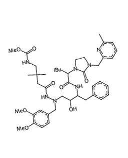 CCC(C)C(C(=O)NC(Cc1ccccc1)C(O)CN(Cc1ccc(OC)c(OC)c1)NC(=O)CC(C)(C)CNC(=O)OC)N1CCN(Cc2cccc(C)n2)C1=O